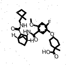 COc1cc(F)c(OC2CCC(C)(C(=O)O)CC2)cc1C(=O)N[C@H]1[C@@H]2CC[C@@H](C2)[C@H]1C(=O)NCC1(C)CCC1